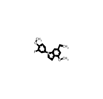 C=Cc1cc(OC)c2ccn(-c3ccc(OC)c(F)c3)c2c1